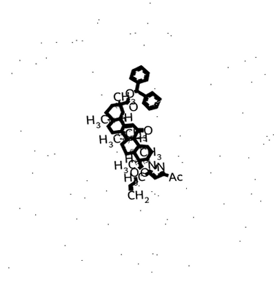 C=CCOC(=O)[C@]1(C)[C@@H](n2nc(C(C)=O)cc2C)CC[C@@]2(C)[C@H]1CC[C@]1(C)[C@@H]2C(=O)C=C2[C@@H]3C[C@@](C)(C(=O)OC(c4ccccc4)c4ccccc4)CC[C@]3(C)CC[C@]21C